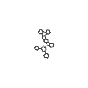 c1ccc(-c2cc(-c3ccccc3)nc(-n3c4ccccc4c4cc5c(cc43)cc3c4ccccc4c4ccccc4n53)n2)cc1